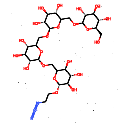 [N-]=[N+]=NCCO[C@@H]1OC(CO[C@@H]2OC(CO[C@@H]3OC(CO[C@@H]4O[C@H](CO)[C@@H](O)[C@H](O)[C@H]4O)[C@@H](O)[C@H](O)[C@H]3O)[C@@H](O)[C@H](O)[C@H]2O)[C@@H](O)[C@H](O)[C@H]1O